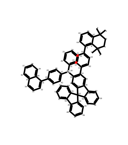 CC1(C)CCC(C)(C)c2c(-c3ccc(-c4cc5c(cc4N(c4ccccc4)c4ccc(-c6cccc7ccccc67)cc4)C4(c6ccccc6-c6ccccc64)c4ccccc4-5)cc3)cccc21